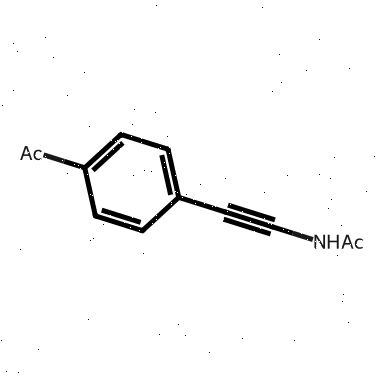 CC(=O)NC#Cc1ccc(C(C)=O)cc1